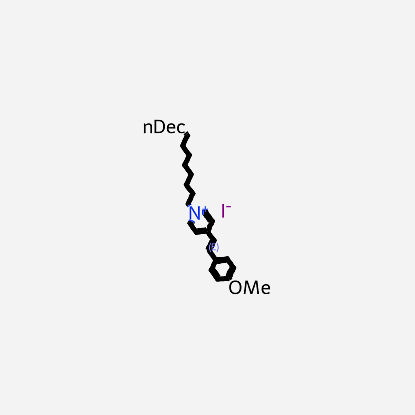 CCCCCCCCCCCCCCCCCC[n+]1ccc(/C=C/c2ccc(OC)cc2)cc1.[I-]